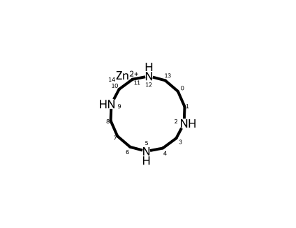 C1CNCCNCCCNCCNC1.[Zn+2]